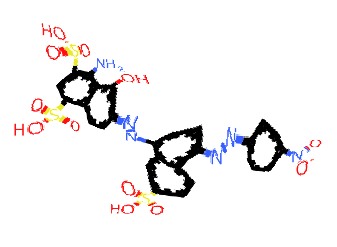 Nc1c(S(=O)(=O)O)cc(S(=O)(=O)O)c2ccc(N=Nc3ccc(N=Nc4ccc([N+](=O)[O-])cc4)c4ccc(S(=O)(=O)O)cc34)c(O)c12